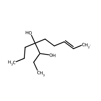 [CH2]C=CCCC(O)(CCC)C(O)CC